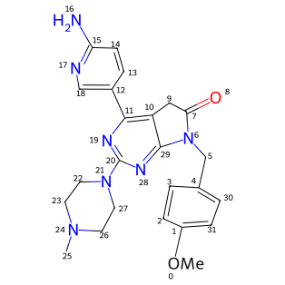 COc1ccc(CN2C(=O)Cc3c(-c4ccc(N)nc4)nc(N4CCN(C)CC4)nc32)cc1